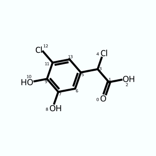 O=C(O)C(Cl)c1cc(O)c(O)c(Cl)c1